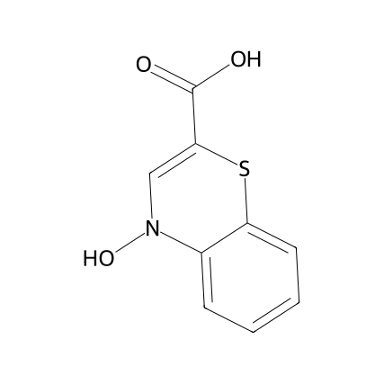 O=C(O)C1=CN(O)c2ccccc2S1